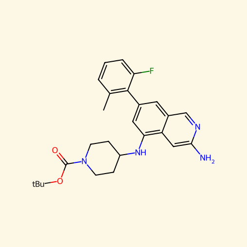 Cc1cccc(F)c1-c1cc(NC2CCN(C(=O)OC(C)(C)C)CC2)c2cc(N)ncc2c1